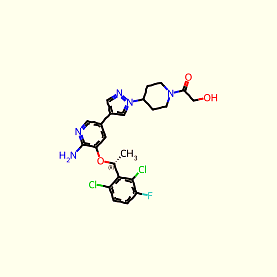 C[C@@H](Oc1cc(-c2cnn(C3CCN(C(=O)CO)CC3)c2)cnc1N)c1c(Cl)ccc(F)c1Cl